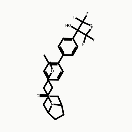 COCCC(=O)N1C2CCC1CN(Cc1ccc(-c3ccc(C(O)(C(F)(F)F)C(F)(F)F)cc3)c(C)c1)C2